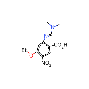 CCOc1cc(/N=C/N(C)C)c(C(=O)O)cc1[N+](=O)[O-]